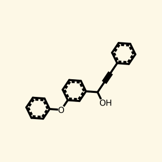 OC(C#Cc1ccccc1)c1cccc(Oc2ccccc2)c1